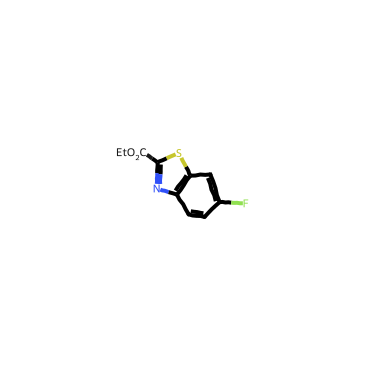 CCOC(=O)c1nc2ccc(F)cc2s1